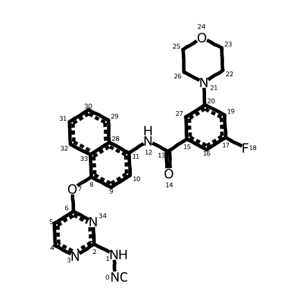 [C-]#[N+]Nc1nccc(Oc2ccc(NC(=O)c3cc(F)cc(N4CCOCC4)c3)c3ccccc23)n1